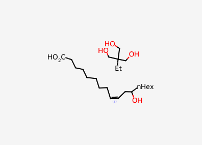 CCC(CO)(CO)CO.CCCCCCC(O)C/C=C\CCCCCCCC(=O)O